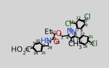 CCC(OCc1nn(-c2ccc(Cl)cc2Cl)c(-c2ccc(Cl)cc2)c1C)C(=O)NCc1ccc(C(=O)O)cc1